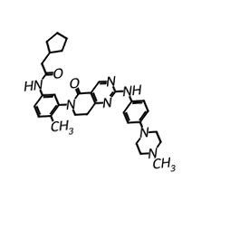 Cc1ccc(NC(=O)CC2CCCC2)cc1N1CCc2nc(Nc3ccc(N4CCN(C)CC4)cc3)ncc2C1=O